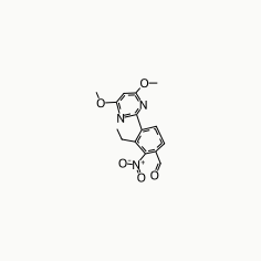 CCc1c(-c2nc(OC)cc(OC)n2)ccc(C=O)c1[N+](=O)[O-]